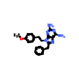 COc1ccc(CCn2c(Cc3ccccc3)nc3c(N)nc(N)nc32)cc1